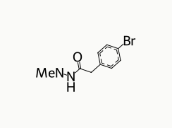 CNNC(=O)Cc1ccc(Br)cc1